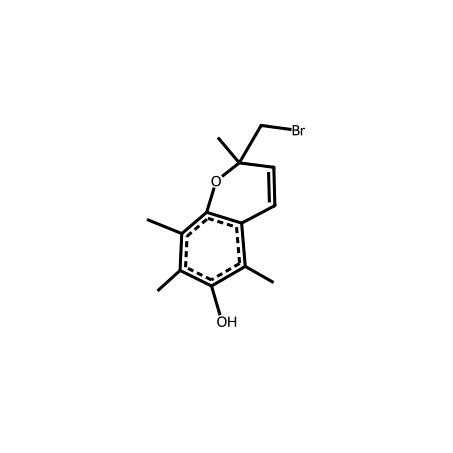 Cc1c(C)c2c(c(C)c1O)C=CC(C)(CBr)O2